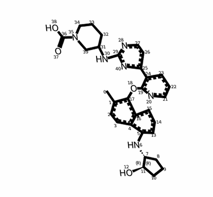 Cc1ccc2c(N[C@@H]3CCC[C@H]3O)cccc2c1Oc1ncccc1-c1ccnc(NC2CCCN(C(=O)O)C2)n1